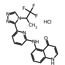 CC(n1cnnc1-c1cccc(Nc2cccc3[nH]ccc(=O)c23)n1)C(F)(F)F.Cl